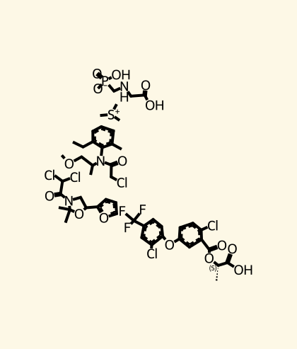 CC1(C)OC(c2ccco2)CN1C(=O)C(Cl)Cl.CCc1cccc(C)c1N(C(=O)CCl)C(C)COC.C[C@H](OC(=O)c1cc(Oc2ccc(C(F)(F)F)cc2Cl)ccc1Cl)C(=O)O.C[S+](C)C.O=C(O)CNCP(=O)([O-])O